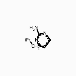 Nc1ncccn1.[CH2]C(C)C